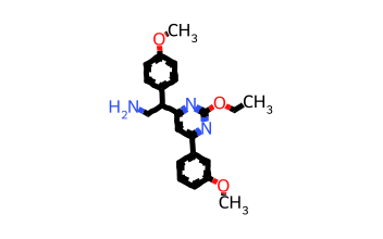 CCOc1nc(-c2cccc(OC)c2)cc(C(CN)c2ccc(OC)cc2)n1